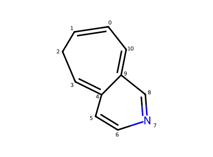 C1=CCC=c2ccncc2=C1